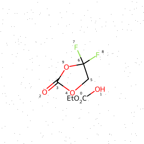 CCOC(=O)O.O=C1OCC(F)(F)O1